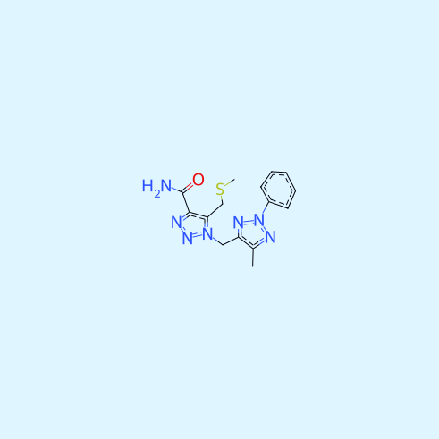 CSCc1c(C(N)=O)nnn1Cc1nn(-c2ccccc2)nc1C